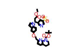 CCOC(=O)CC(c1cncc(S(C)(=O)=O)c1)n1ccc2cc(OCCc3ccc4c(n3)N(C(=O)OC(C)(C)C)CCC4)ccc21